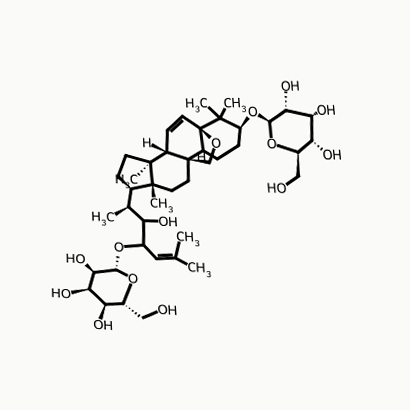 CC(C)=CC(O[C@@H]1O[C@H](CO)[C@@H](O)[C@@H](O)[C@H]1O)C(O)[C@@H](C)[C@H]1CC[C@@]2(C)[C@@H]3C=C[C@@]45OC[C@]3(CC[C@]12C)[C@@H]4CC[C@H](O[C@@H]1O[C@H](CO)[C@@H](O)[C@@H](O)[C@H]1O)C5(C)C